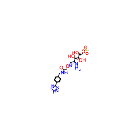 Cc1nnc(-c2ccc(CNC(=O)CO/N=C/[C@H](N)[C@@H](O)[C@H](O)[C@H](O)COS(C)(=O)=O)cc2)nn1